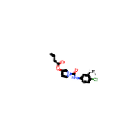 C=CCC(=O)Oc1ccn(C(=O)Nc2ccc(Cl)c(C(F)(F)F)c2)c1